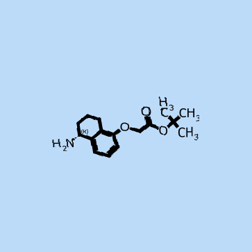 CC(C)(C)OC(=O)COc1cccc2c1CCC[C@H]2N